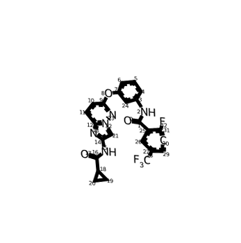 O=C(Nc1cccc(Oc2ccc3nc(NC(=O)C4CC4)cn3n2)c1)c1cc(C(F)(F)F)ccc1F